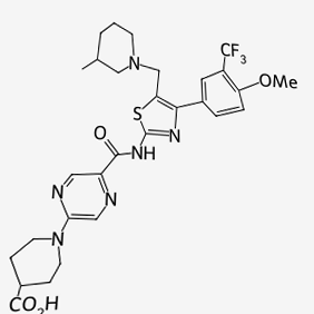 COc1ccc(-c2nc(NC(=O)c3cnc(N4CCC(C(=O)O)CC4)cn3)sc2CN2CCCC(C)C2)cc1C(F)(F)F